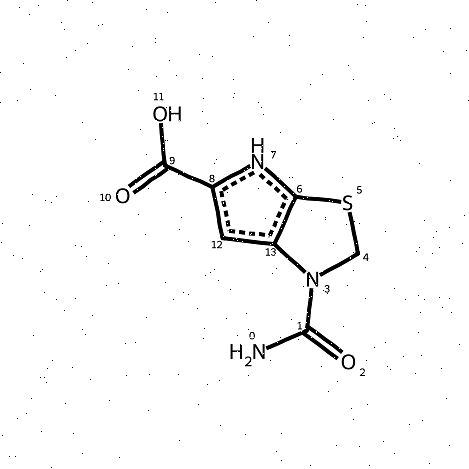 NC(=O)N1CSc2[nH]c(C(=O)O)cc21